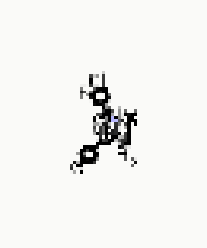 COc1ccc(C(N)CC(N)N/C(=N\C(=O)c2ccc(Cl)c(F)c2)NC(C)(C)C)cc1